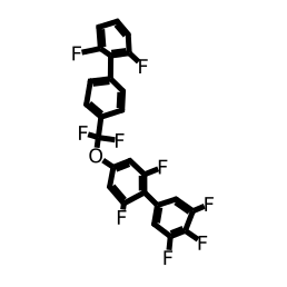 Fc1cc(-c2c(F)cc(OC(F)(F)c3ccc(-c4c(F)cccc4F)cc3)cc2F)cc(F)c1F